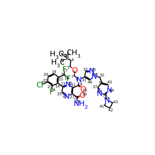 C[Si](C)(C)CCOCN(C(=O)c1nc(-c2c(C(F)F)ccc(Cl)c2F)cnc1C(N)=O)c1cnn(Cc2cnc(N3CCC3)nc2)c1